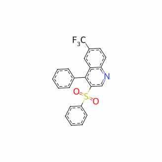 O=S(=O)(c1ccccc1)c1cnc2ccc(C(F)(F)F)cc2c1-c1ccccc1